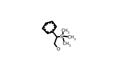 C[Si](C)(C)C(C[O])c1ccccc1